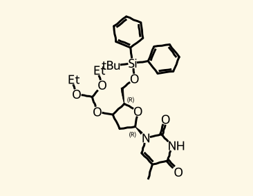 CCOC(OCC)OC1C[C@H](n2cc(C)c(=O)[nH]c2=O)O[C@@H]1CO[Si](c1ccccc1)(c1ccccc1)C(C)(C)C